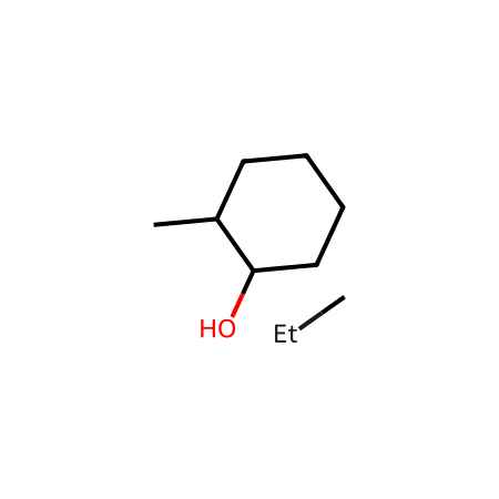 CC1CCCCC1O.CCC